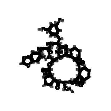 C[C@@H]1NC(=O)[C@@H]2CCCCN2C(=O)[C@@H]2CCCCN2C(=O)[C@@H](NC(=O)[C@H](Cc2cc(F)cc(F)c2)NC(=O)Nc2ccc3c(c2)OCO3)[C@H](C)OC(=O)[C@@H]2CCCN2C1=O